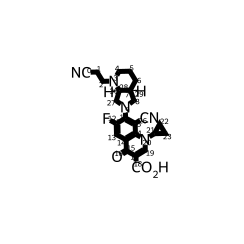 N#CCCN1CCC[C@H]2CN(c3c(F)cc4c(=O)c(C(=O)O)cn(C5CC5)c4c3C#N)C[C@H]21